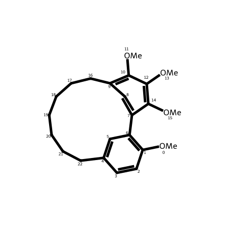 COc1ccc2cc1-c1cc(c(OC)c(OC)c1OC)CCCCCCC2